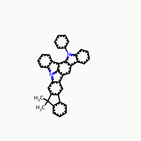 CC1(C)c2ccccc2-c2cc3c4cc5c6ccccc6n(-c6ccccc6)c5c5c6ccccc6n(c3cc21)c45